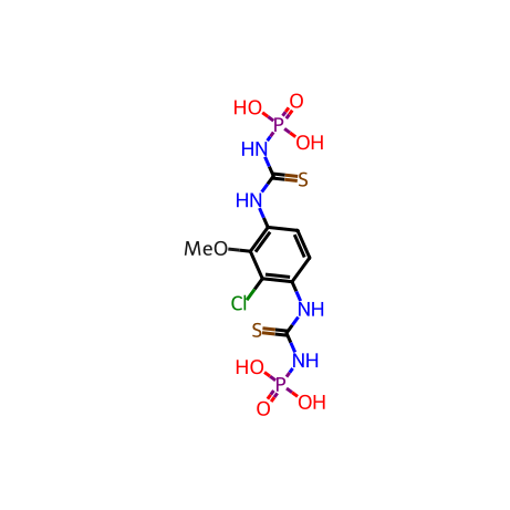 COc1c(NC(=S)NP(=O)(O)O)ccc(NC(=S)NP(=O)(O)O)c1Cl